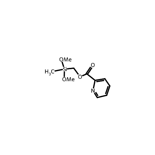 CO[Si](C)(COC(=O)c1ccccn1)OC